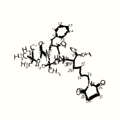 CC(C)(C)OC(=O)N(C(Cc1ccccc1)C(=O)NC(CCCCN1C(=O)C=CC1=O)C(=O)O)C(C)(C)C